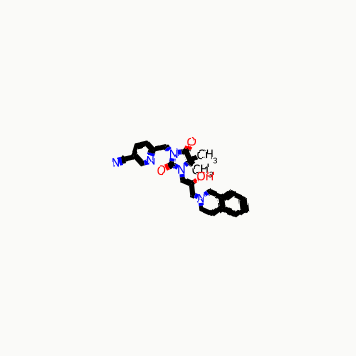 CC1(C)C(=O)N(Cc2ccc(C#N)cn2)C(=O)N1CC(O)CN1CCc2ccccc2C1